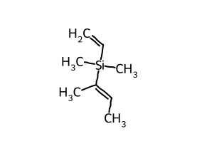 C=C[Si](C)(C)C(C)=CC